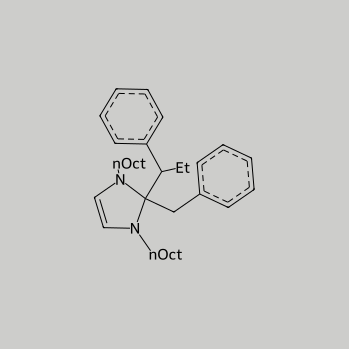 CCCCCCCCN1C=CN(CCCCCCCC)C1(Cc1ccccc1)C(CC)c1ccccc1